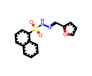 O=S(=O)(NN=Cc1ccco1)c1cccc2ccccc12